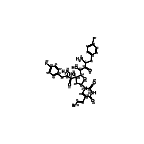 NC(Cc1ccc(F)cc1)C(=O)C(O)[C@H]1O[C@@H](n2cc(C=CBr)c(=O)[nH]c2=O)C[C@@]1(O)C(=O)C(N)Cc1ccc(F)cc1